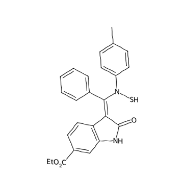 CCOC(=O)c1ccc2c(c1)NC(=O)/C2=C(/c1ccccc1)N(S)c1ccc(C)cc1